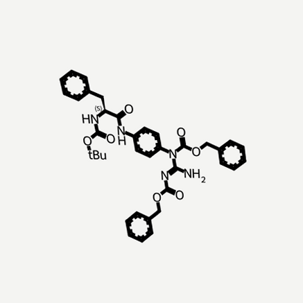 CC(C)(C)OC(=O)N[C@@H](Cc1ccccc1)C(=O)Nc1ccc(N(C(=O)OCc2ccccc2)C(N)=NC(=O)OCc2ccccc2)cc1